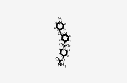 NC(=O)OC1CCN(S(=O)(=O)c2cccc(OC3CCNCC3)c2)CC1